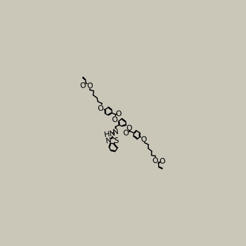 C=CC(=O)OCCCCCCOc1ccc(C(=O)Oc2ccc(OC(=O)c3ccc(OCCCCCCOC(=O)C=C)cc3)c(/C=N/Nc3nc4ccccc4s3)c2)cc1